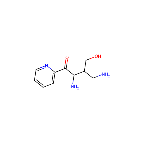 NCC(CO)C(N)C(=O)c1ccccn1